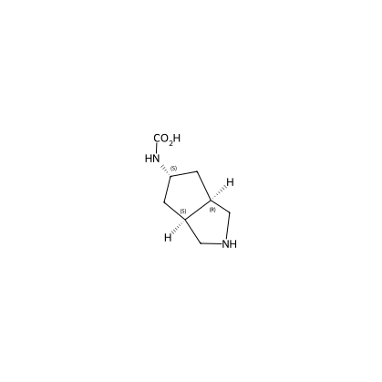 O=C(O)N[C@@H]1C[C@H]2CNC[C@H]2C1